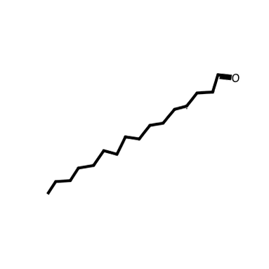 CCCCCCCCCCCC[CH]CCC=O